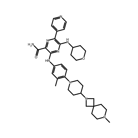 Cc1cc(Nc2nc(NC3CCOCC3)c(-c3ccncc3)nc2C(N)=O)ccc1N1CCC(N2CC3(CCN(C)CC3)C2)CC1